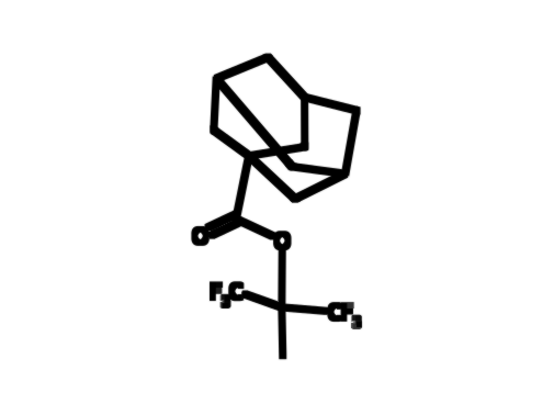 CC(OC(=O)C12CC3CC(CC(C3)C1)C2)(C(F)(F)F)C(F)(F)F